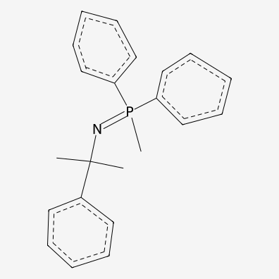 CC(C)(N=P(C)(c1ccccc1)c1ccccc1)c1ccccc1